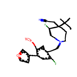 CC(C)(C)C1(CC#N)CCN(Cc2cc(O)c(-c3ccoc3)cc2F)CC1F